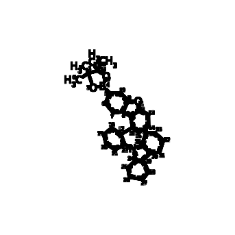 CC1(C)OB(c2ccc3c(c2)oc2cccc(-c4ccccc4-n4c5ccccc5c5ccccc54)c23)OC1(C)C